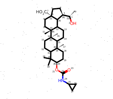 C[C@H](O)[C@@H]1CC[C@]2(C(=O)O)CC[C@]3(C)C(CCC4[C@@]5(C)CC[C@@H](OC(=O)NC6CC6)C(C)(C)C5CC[C@]43C)C12